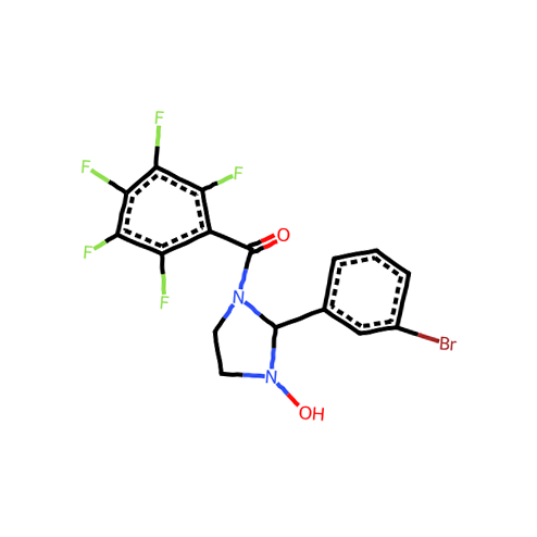 O=C(c1c(F)c(F)c(F)c(F)c1F)N1CCN(O)C1c1cccc(Br)c1